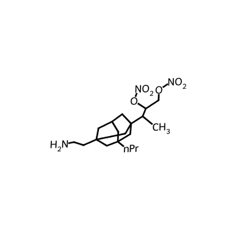 CCCC12CC3CC(CCN)(C1)CC(C(C)C(CO[N+](=O)[O-])O[N+](=O)[O-])(C3)C2